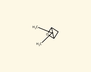 CC1C2CC(O2)C1C